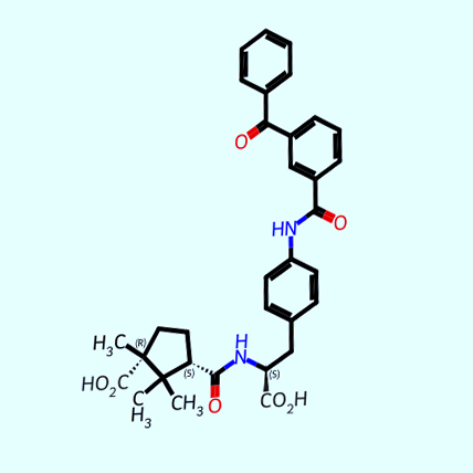 CC1(C)[C@@H](C(=O)N[C@@H](Cc2ccc(NC(=O)c3cccc(C(=O)c4ccccc4)c3)cc2)C(=O)O)CC[C@@]1(C)C(=O)O